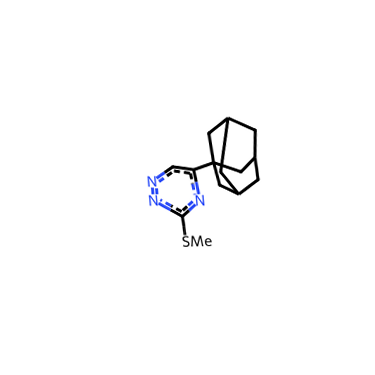 CSc1nncc(C23CC4CC(CC(C4)C2)C3)n1